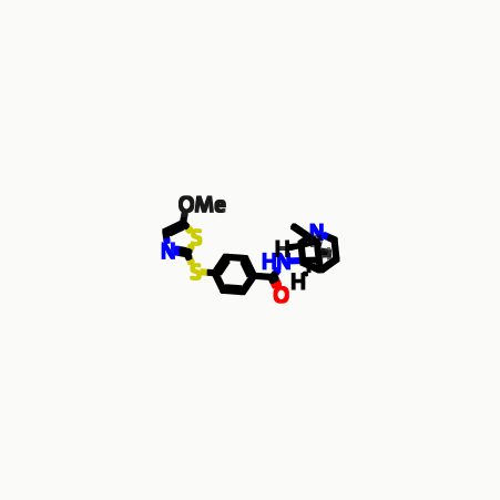 COc1cnc(Sc2ccc(C(=O)N[C@@H]3C4CCN(CC4)[C@H]3C)cc2)s1